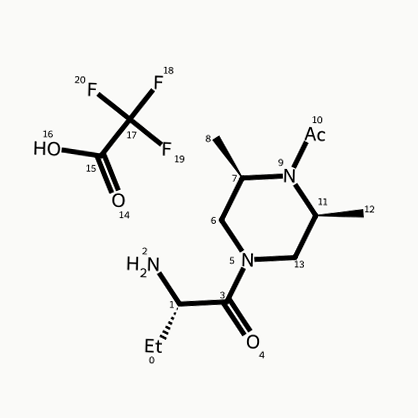 CC[C@H](N)C(=O)N1C[C@@H](C)N(C(C)=O)[C@@H](C)C1.O=C(O)C(F)(F)F